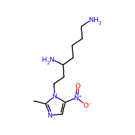 Cc1ncc([N+](=O)[O-])n1CCC(N)CCCCN